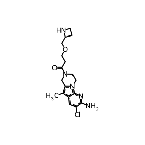 Cc1c2n(c3nc(N)c(Cl)cc13)CCN(C(=O)CCOCC1CCN1)C2